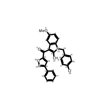 COc1ccc2c(c1)c(C(=O)c1cc(-c3ccccc3)no1)c(C)n2Cc1ccc(Cl)cc1